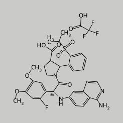 COc1cc(F)c([C@@H](Nc2ccc3c(N)nccc3c2)C(=O)N2CCC(C(=O)O)C2c2ccccc2S(=O)(=O)C(C)C)cc1OC.O=C(O)C(F)(F)F